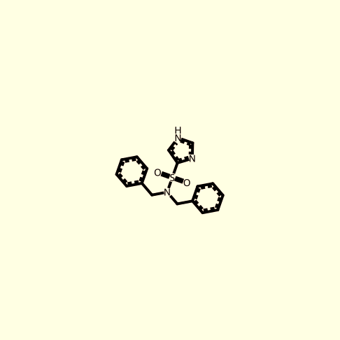 O=S(=O)(c1c[nH]cn1)N(Cc1ccccc1)Cc1ccccc1